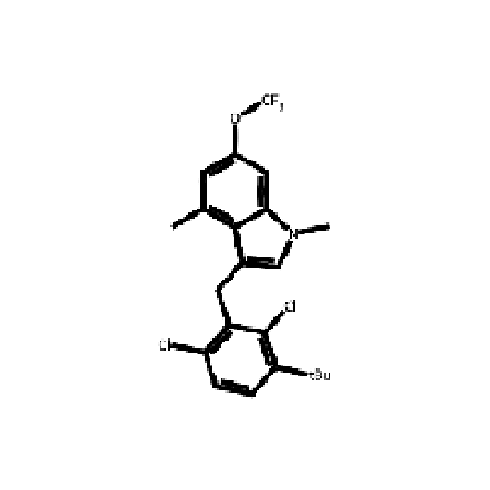 Cc1cc(OC(F)(F)F)cc2c1c(Cc1c(Cl)ccc(C(C)(C)C)c1Cl)cn2C